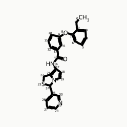 CCc1ccccc1Oc1cccc(C(=O)Nc2ccn3c2CSC3c2cccnc2)c1